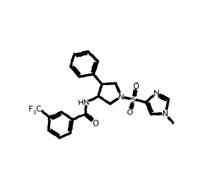 Cn1cnc(S(=O)(=O)N2CC(NC(=O)c3cccc(C(F)(F)F)c3)C(c3ccccc3)C2)c1